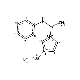 CCCCn1cc[n+](C(C)Nc2ccccc2)c1.[Br-]